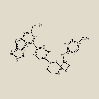 CCOc1cc(-c2ccc(N3CCCC4(CCN4Cc4ccc(OC)nc4)C3)nc2)c2c3cn[nH]c3nn2c1